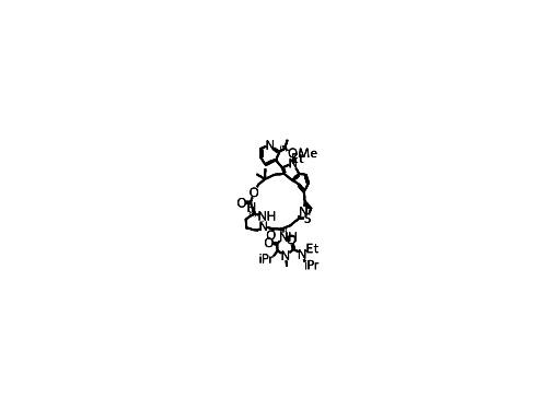 CCN(C(=O)N(C)C(C(=O)N[C@H]1Cc2nc(cs2)-c2ccc3c(c2)c(c(-c2cccnc2[C@H](C)OC)n3CC)CC(C)(C)COC(=O)[C@@H]2CCCN(N2)C1=O)C(C)C)C(C)C